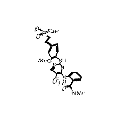 CCP(=O)(O)CCc1ccc(Nc2ncc(C(F)(F)F)c(Nc3ccccc3C(=O)NC)n2)c(OC)c1